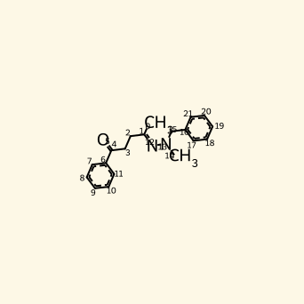 CC(CCC(=O)c1ccccc1)=NN(C)Cc1ccccc1